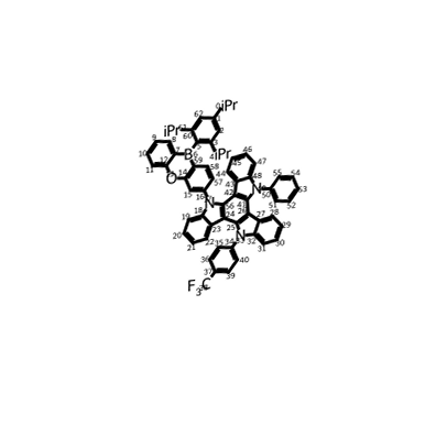 CC(C)c1cc(C(C)C)c(B2c3ccccc3Oc3cc(-n4c5ccccc5c5c6c(c7ccccc7n6-c6ccc(C(F)(F)F)cc6)c6c(c7ccccc7n6-c6ccccc6)c54)ccc32)c(C(C)C)c1